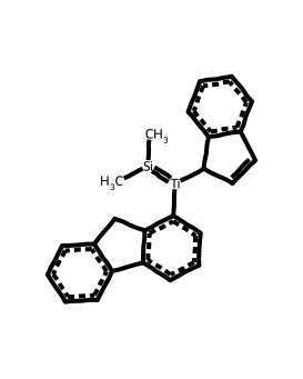 C[Si](C)=[Ti]([c]1cccc2c1Cc1ccccc1-2)[CH]1C=Cc2ccccc21